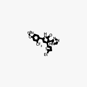 CCCCOc1ccc(-c2cc(-c3ccc(CC)s3)c(-c3nnc[nH]3)c(=O)[nH]2)c(C(F)(F)F)c1